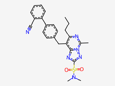 CCCc1nc(C)n2nc(S(=O)(=O)N(C)C)nc2c1Cc1ccc(-c2ccccc2C#N)cc1